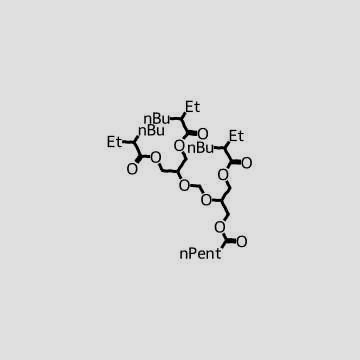 CCCCCC(=O)OCC(COC(=O)C(CC)CCCC)OCOC(COC(=O)C(CC)CCCC)COC(=O)C(CC)CCCC